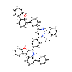 CN1C(c2ccc(-c3nc4c(-c5ccccc5)cccc4c4c3oc3ccccc34)cc2)=CC(c2cccc(-c3cccc4c3oc3ccccc34)c2)=NC1c1ccccc1